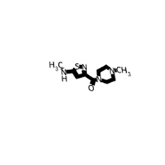 CNc1cc(C(=O)N2CCN(C)CC2)ns1